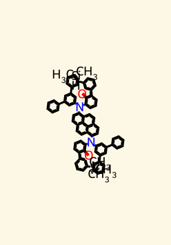 C[SiH](C)Cc1cccc2c1oc1c(N(c3cc(-c4ccccc4)cc(-c4ccccc4)c3)c3ccc4ccc5c(N(c6cc(-c7ccccc7)cc(-c7ccccc7)c6)c6cccc7c6oc6c([Si](C)(C)C)cccc67)ccc6ccc3c4c65)cccc12